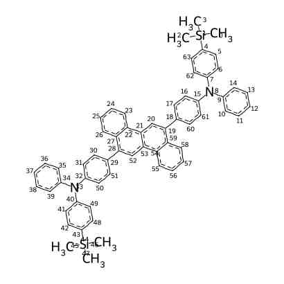 C[Si](C)(C)c1ccc(N(c2ccccc2)c2ccc(-c3cc4c5ccccc5c(-c5ccc(N(c6ccccc6)c6ccc([Si](C)(C)C)cc6)cc5)cc4c4ccccc34)cc2)cc1